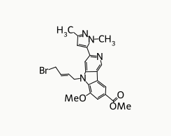 COC(=O)c1cc(OC)c2c(c1)c1cnc(-c3cc(C)nn3C)cc1n2C/C=C/CBr